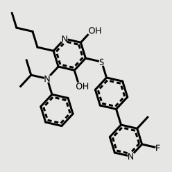 CCCCc1nc(O)c(Sc2ccc(-c3ccnc(F)c3C)cc2)c(O)c1N(c1ccccc1)C(C)C